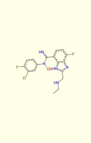 CCNCc1nc2c(F)ccc(C(=N)N(O)c3ccc(F)c(Cl)c3)c2[nH]1